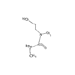 CNC(=O)N(C)CCO